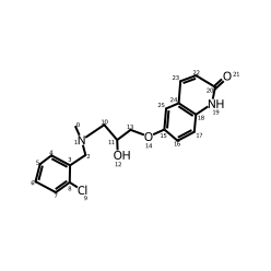 CN(Cc1ccccc1Cl)CC(O)COc1ccc2[nH]c(=O)ccc2c1